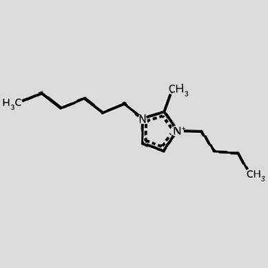 CCCCCCn1cc[n+](CCCC)c1C